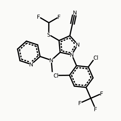 CN(c1ccccn1)c1c(SC(F)F)c(C#N)nn1-c1c(Cl)cc(C(F)(F)F)cc1Cl